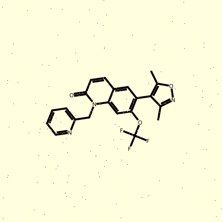 Cc1noc(C)c1-c1cc2ccc(=O)n(Cc3ccccn3)c2cc1OC(F)(F)F